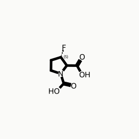 O=C(O)C1[C@@H](F)CCN1C(=O)O